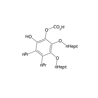 CCCCCCCOc1c(CCC)c(CCC)c(O)c(OC(=O)O)c1OCCCCCCC